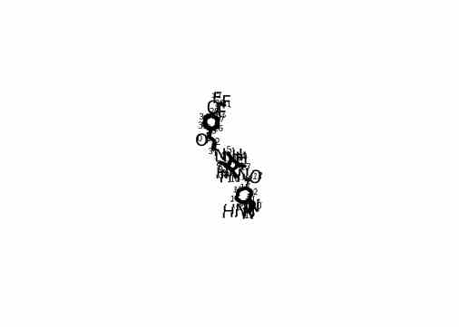 O=C(/C=C/N1C[C@@H]2[C@H](C1)[C@@H]1CN(C(=O)[C@@H]3CCc4[nH]nnc4C3)C[C@H]21)c1ccc(OC(F)(F)F)cc1